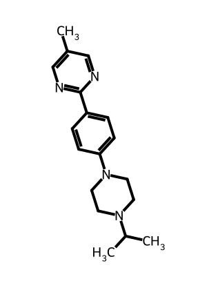 Cc1cnc(-c2ccc(N3CCN(C(C)C)CC3)cc2)nc1